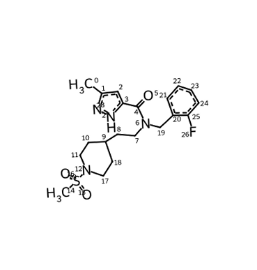 Cc1cc(C(=O)N(CCC2CCN(S(C)(=O)=O)CC2)Cc2ccccc2F)[nH]n1